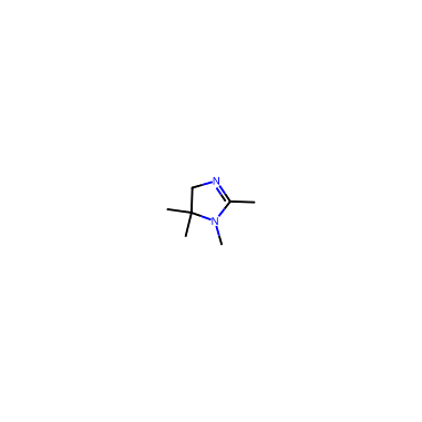 CC1=NCC(C)(C)N1C